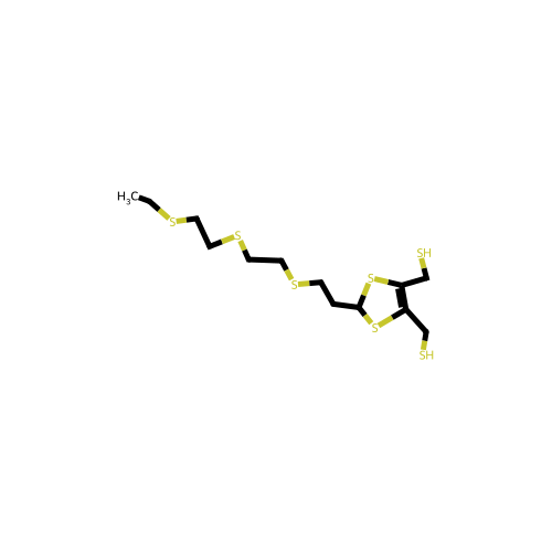 CCSCCSCCSCCC1SC(CS)=C(CS)S1